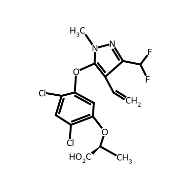 C=Cc1c(C(F)F)nn(C)c1Oc1cc(O[C@@H](C)C(=O)O)c(Cl)cc1Cl